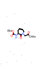 COC(=O)CN1CC=CCC(NC(=O)OC(C)(C)C)C1=O